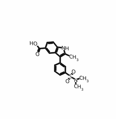 Cc1[nH]c2ccc(C(=O)O)cc2c1-c1cccc(S(=O)(=O)N(C)C)c1